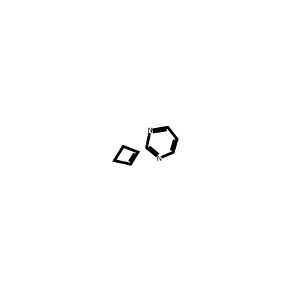 C1=CCC1.c1cncnc1